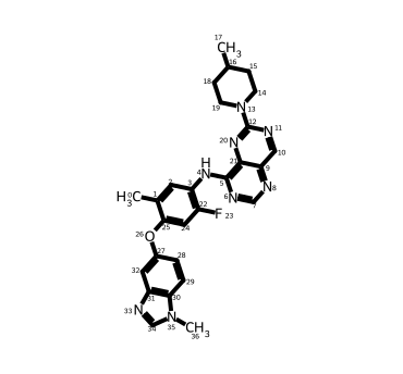 Cc1cc(Nc2ncnc3cnc(N4CCC(C)CC4)nc23)c(F)cc1Oc1ccc2c(c1)ncn2C